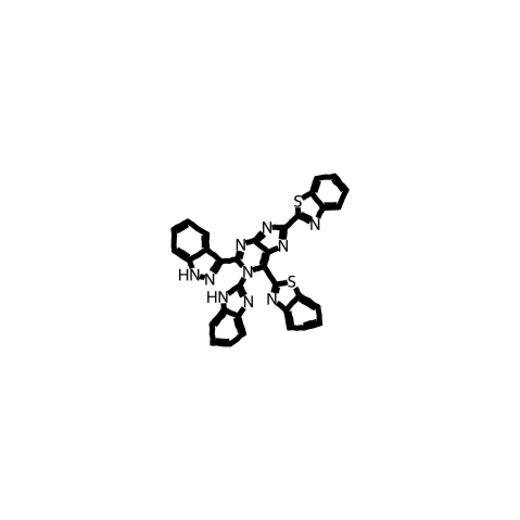 c1ccc2[nH]c(-n3c(-c4n[nH]c5ccccc45)nc4nc(-c5nc6ccccc6s5)nc-4c3-c3nc4ccccc4s3)nc2c1